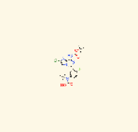 CC(C)(C)OC(=O)NC1=NC(C)(c2cc(N(C(=O)O)C(C)(C)C)ccc2F)Cn2cc(Cl)nc21